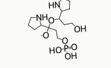 [O]C(CCOP(=O)(O)O)(OC(CCO)C1CCCN1)C1CCCN1